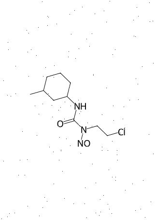 CC1CCCC(NC(=O)N(CCCl)N=O)C1